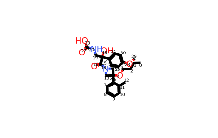 CCCCOC1(c2ccccc2C)CN(C(=O)C(O)(CNC(=O)O)c2ccc(OC)cc2)C1